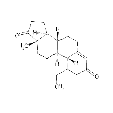 CCC1CC(=O)C=C2CC[C@@H]3[C@H](CC[C@]4(C)C(=O)CC[C@@H]34)[C@H]21